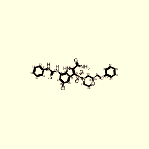 NC(=O)c1[nH]c2c(NC(=S)Nc3ccccc3)cc(Cl)cc2c1S(=O)(=O)N1CCO[C@H](COc2ccccc2)C1